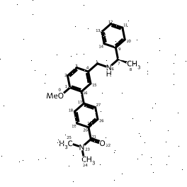 COc1ccc(CN[C@H](C)c2ccccc2)cc1-c1ccc(C(=O)N(C)C)cc1